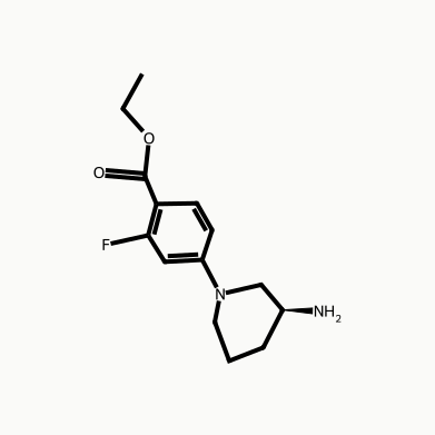 CCOC(=O)c1ccc(N2CCC[C@H](N)C2)cc1F